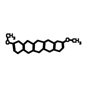 COC1=CCC2=C(C1)CC1=C(C2)CC2=C(CC3=C(CC=C(OC)C3)C2)C1